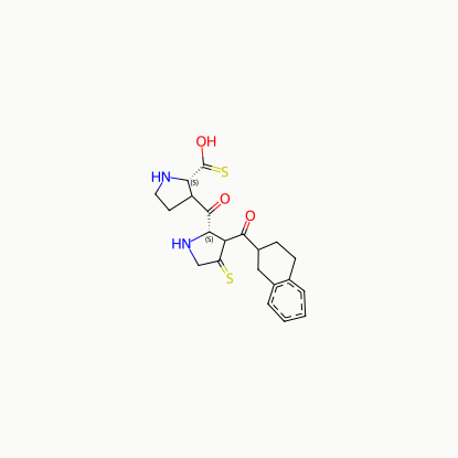 O=C(C1CCc2ccccc2C1)C1C(=S)CN[C@@H]1C(=O)C1CCN[C@@H]1C(O)=S